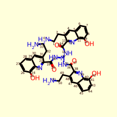 NCCc1cc2cccc(O)c2nc1C(=O)NN(NC(=O)c1nc2c(O)cccc2cc1CCN)NC(=O)c1nc2c(O)cccc2cc1CCN